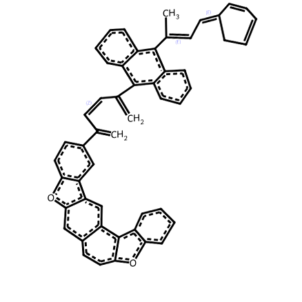 C=C(/C=C\C(=C)c1c2ccccc2c(/C(C)=C/C=C2/C=CC=CC2)c2ccccc12)c1ccc2oc3cc4ccc5oc6ccccc6c5c4cc3c2c1